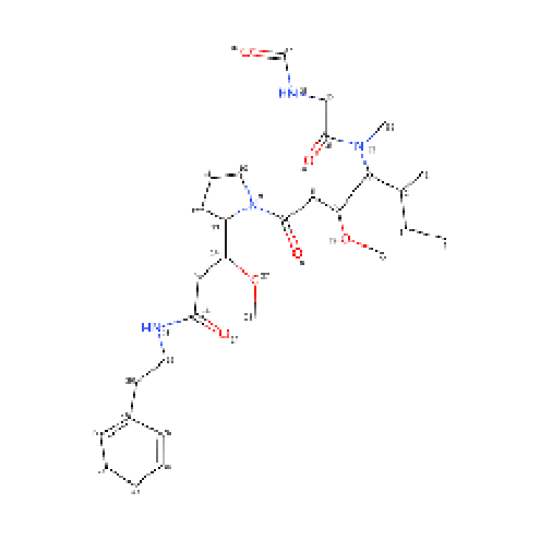 CCC(C)C(C(CC(=O)N1CCCC1C(CC(=O)NCCC1=CCCC=C1)OC)OC)N(C)C(=O)CNC=O